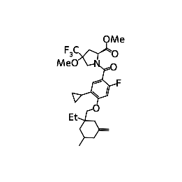 C=C1CC(C)CC(CC)(COc2cc(F)c(C(=O)N3CC(OC)(C(F)(F)F)C[C@H]3C(=O)OC)cc2C2CC2)C1